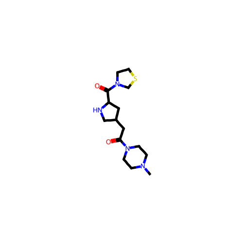 CN1CCN(C(=O)CC2CNC(C(=O)N3CCSC3)C2)CC1